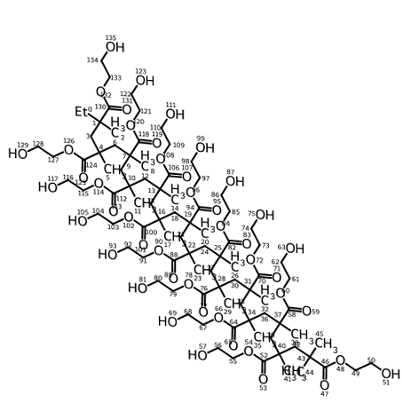 CCC(C)(CC(C)(CC(C)(CC(C)(CC(C)(CC(C)(CC(C)(CC(C)(CC(C)(CC(C)(CC(C)(CC(C)(CC(C)(CC(C)(CC(C)(C)C(=O)OCCO)C(=O)OCCO)C(=O)OCCO)C(=O)OCCO)C(=O)OCCO)C(=O)OCCO)C(=O)OCCO)C(=O)OCCO)C(=O)OCCO)C(=O)OCCO)C(=O)OCCO)C(=O)OCCO)C(=O)OCCO)C(=O)OCCO)C(=O)OCCO